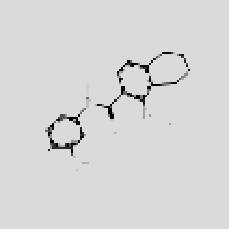 Nc1c(C(=O)Nc2ccc(F)c(C(F)(F)F)c2)ccc2c1CCCC2